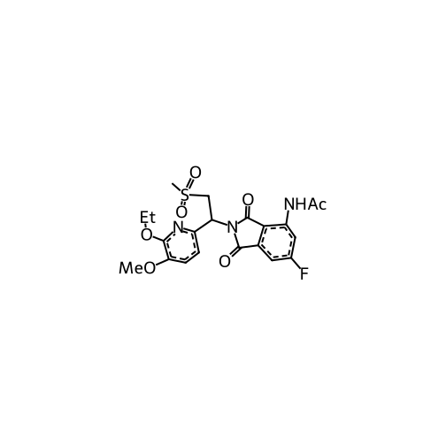 CCOc1nc(C(CS(C)(=O)=O)N2C(=O)c3cc(F)cc(NC(C)=O)c3C2=O)ccc1OC